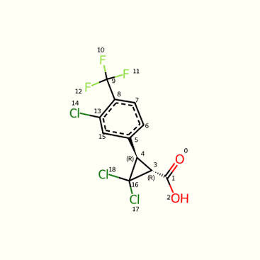 O=C(O)[C@H]1[C@H](c2ccc(C(F)(F)F)c(Cl)c2)C1(Cl)Cl